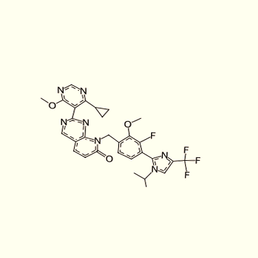 COc1ncnc(C2CC2)c1-c1ncc2ccc(=O)n(Cc3ccc(-c4nc(C(F)(F)F)cn4C(C)C)c(F)c3OC)c2n1